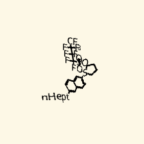 CCCCCCCc1ccc2cc(S3(OS(=O)(=O)C(F)(F)C(F)(F)C(F)(F)C(F)(F)F)CCCC3)ccc2c1